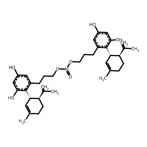 C=C(C)[C@H]1CCC(C)=C[C@@H]1c1c(O)cc(O)cc1CCCO[N+](=O)OCCCc1cc(O)cc(O)c1[C@H]1C=C(C)CC[C@@H]1C(=C)C